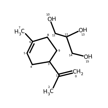 C=C(C)C1CC=C(C)CC1.OCC(O)CO